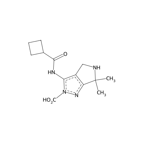 CC1(C)NCc2c1nn(C(=O)O)c2NC(=O)C1CCC1